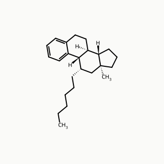 CCCCCC[C@H]1C[C@]2(C)CCC[C@H]2[C@@H]2CCc3ccccc3[C@@H]12